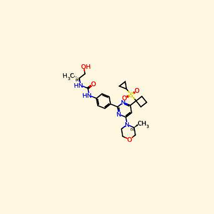 C[C@H](CO)NC(=O)Nc1ccc(-c2nc(N3CCOC[C@@H]3C)cc(C3(S(=O)(=O)C4CC4)CCC3)n2)cc1